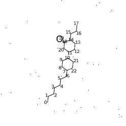 CCCCCCC[C@H]1CC[C@H](C2CCC(CCC)C(=O)C2)CC1